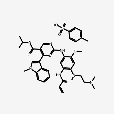 C=CC(=O)Nc1cc(Nc2ncc(C(=O)OC(C)C)c(-c3cn(C)c4ccccc34)n2)c(OC)cc1N(C)CCN(C)C.Cc1ccc(S(=O)(=O)O)cc1